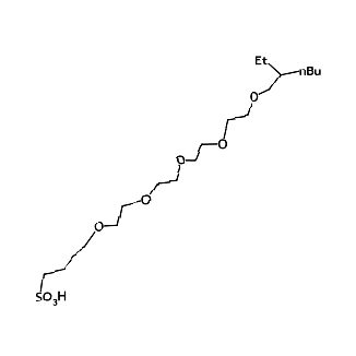 CCCCC(CC)COCCOCCOCCOCCOCCCCS(=O)(=O)O